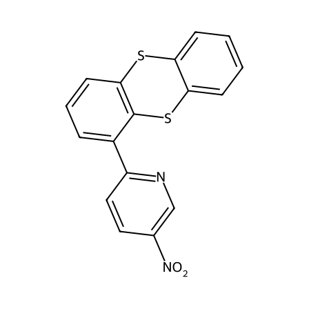 O=[N+]([O-])c1ccc(-c2cccc3c2Sc2ccccc2S3)nc1